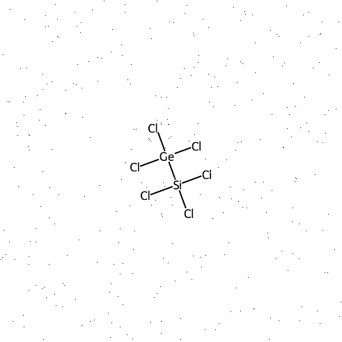 Cl[Si](Cl)(Cl)[Ge]([Cl])([Cl])[Cl]